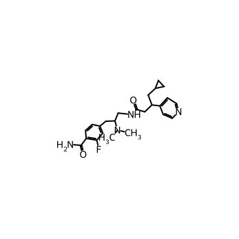 CN(C)C(CNC(=O)CC(CC1CC1)c1ccncc1)Cc1ccc(C(N)=O)c(F)c1